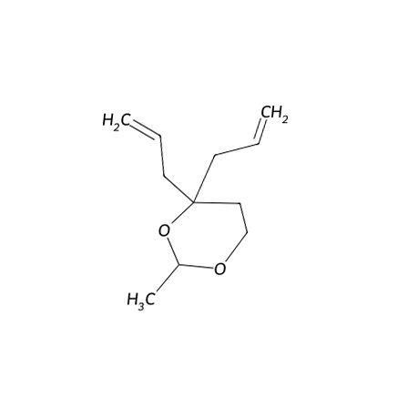 C=CCC1(CC=C)CCOC(C)O1